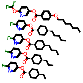 CCCCCCCOc1ccc(C(=O)Oc2ccc(OC(F)F)nc2)cc1.CCCCC[C@H]1CC[C@H](C(=O)Oc2ccc(F)nc2)CC1.CCCC[C@H]1CC[C@H](C(=O)Oc2ccc(F)nc2)CC1.CCC[C@H]1CC[C@H](C(=O)Oc2ccc(F)nc2)CC1.CC[C@H]1CC[C@H](C(=O)Oc2ccc(F)nc2)CC1